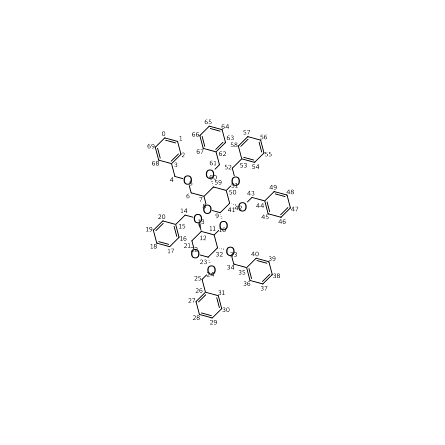 c1ccc(COCC2O[C@@H](OC3[C@H](OCc4ccccc4)CO[C@@H](OCc4ccccc4)[C@H]3OCc3ccccc3)[C@@H](OCc3ccccc3)C(OCc3ccccc3)[C@H]2OCc2ccccc2)cc1